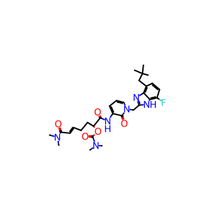 CN(C)C(=O)C=CCCC(OC(=O)N(C)C)C(=O)Nc1cccn(Cc2nc3c(CC(C)(C)C)ccc(F)c3[nH]2)c1=O